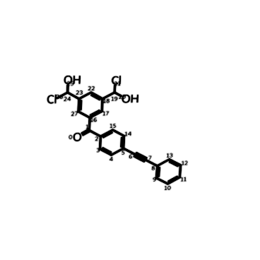 O=C(c1ccc(C#Cc2ccccc2)cc1)c1cc(C(O)Cl)cc(C(O)Cl)c1